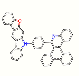 c1ccc2c(c1)nc(-c1ccc(-n3c4ccccc4c4cc5c(cc43)oc3ccccc35)cc1)c1c3ccccc3c3ccccc3c21